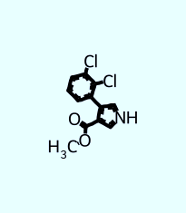 COC(=O)c1c[nH]cc1-c1cccc(Cl)c1Cl